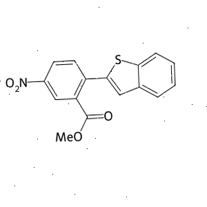 COC(=O)c1cc([N+](=O)[O-])ccc1-c1cc2ccccc2s1